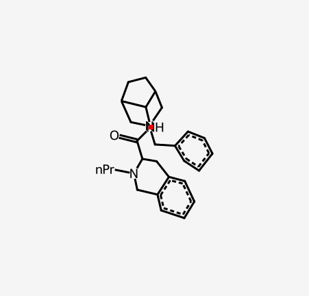 CCCN1Cc2ccccc2CC1C(=O)NC1C2CCC1CN(Cc1ccccc1)C2